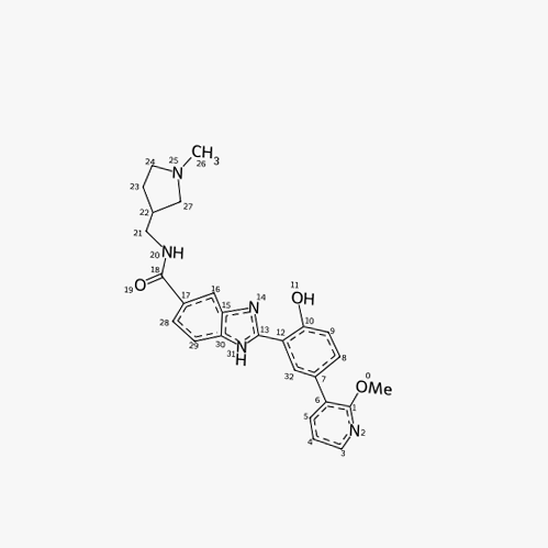 COc1ncccc1-c1ccc(O)c(-c2nc3cc(C(=O)NCC4CCN(C)C4)ccc3[nH]2)c1